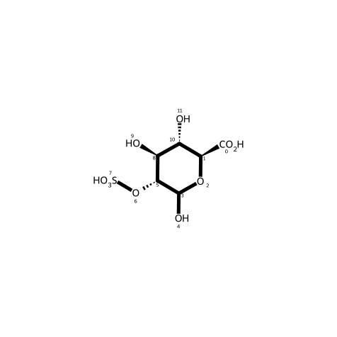 O=C(O)[C@H]1OC(O)[C@H](OS(=O)(=O)O)[C@@H](O)[C@@H]1O